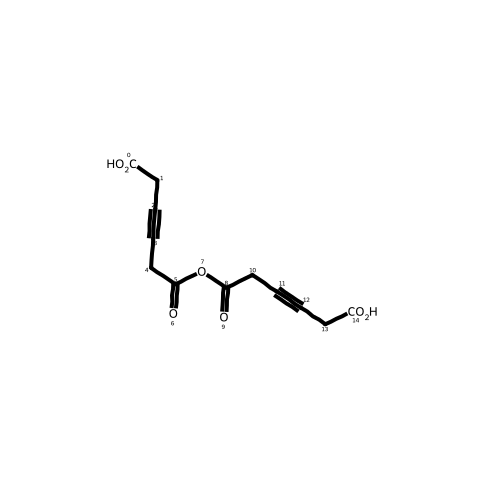 O=C(O)CC#CCC(=O)OC(=O)CC#CCC(=O)O